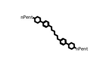 CCCCCC1CCC(c2ccc(CCCCCCc3ccc(C4CCC(CCCCC)CC4)cc3)cc2)CC1